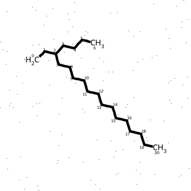 [CH2]CC(CCCC)CCCCCCCCCCCCCC